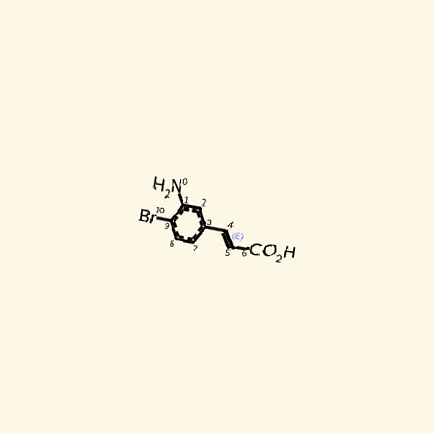 Nc1cc(/C=C/C(=O)O)ccc1Br